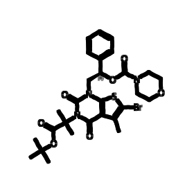 Cc1c(Br)sc2c1c(=O)n(C(C)(C)C(=O)OC(C)(C)C)c(=O)n2C[C@H](OC(=O)N1CCOCC1)c1ccccc1